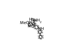 COC(=O)Nc1cn(C2(CC#N)CCC(Nc3ccc(-c4ccccc4)cc3)CC2)cc1C(N)=O